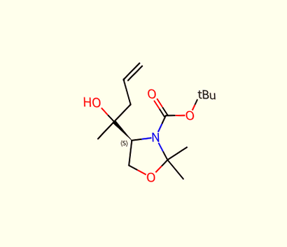 C=CCC(C)(O)[C@@H]1COC(C)(C)N1C(=O)OC(C)(C)C